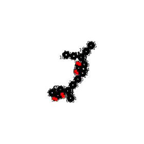 c1ccc(-c2ccc(-c3cc(-c4ccc5c(c4)C4(c6cc(-c7ccc(-c8ccc(-c9cc(-c%10ccc%11c(c%10)C%10(c%12ccccc%12S%11)c%11ccccc%11-c%11ccccc%11%10)nc(-c%10ccccc%10)n9)cc8)cc7)ccc6S5)c5ccccc5-c5ccccc54)nc(-c4ccc(-c5ccccc5)cc4)n3)cc2)cc1